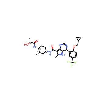 Cc1[nH]c2c(-c3cc(C(F)(F)F)ccc3OCC3CC3)ncnc2c1C(=O)N[C@@H]1CC[C@@H](NC(=O)[C@H](C)O)[C@H](C)C1